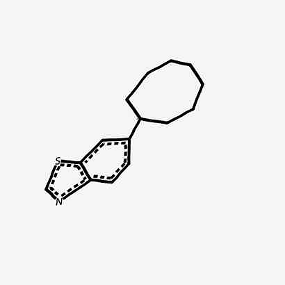 c1nc2ccc([C]3CCCCCCC3)cc2s1